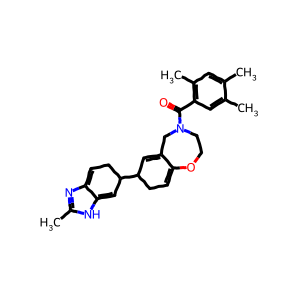 Cc1nc2c([nH]1)=CC(C1C=C3CN(C(=O)c4cc(C)c(C)cc4C)CCOC3=CC1)CC=2